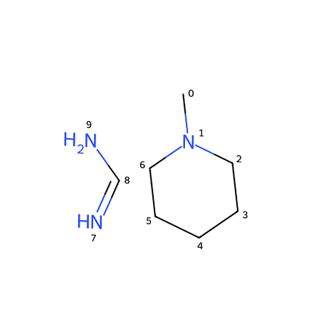 CN1CCCCC1.N=CN